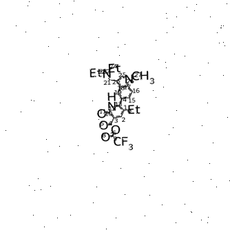 CCc1cc(C(=O)OC(=O)C(F)(F)F)c(=O)[nH]c1-c1ccc2c(c1)c(CN(CC)CC)cn2C